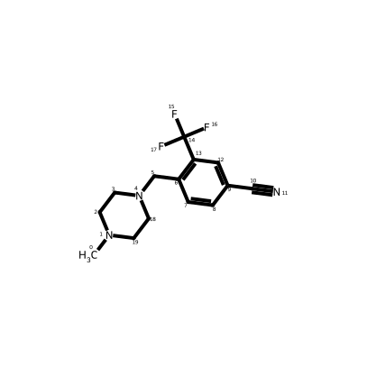 CN1CCN(Cc2ccc(C#N)cc2C(F)(F)F)CC1